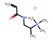 C=CC(=O)NCC(C)[N+](C)(C)C.[Cl-]